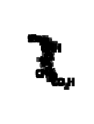 Cc1c(Cc2cc(Cl)cc(O[C@H](C)C(=O)O)c2)c2ccc(C(=O)N[C@@H](C)c3ccc(C(C)(C)C)cc3)cc2n1C